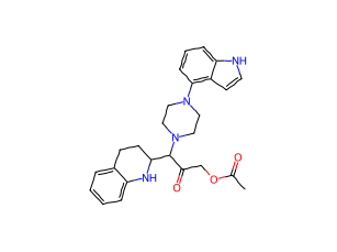 CC(=O)OCC(=O)C(C1CCc2ccccc2N1)N1CCN(c2cccc3[nH]ccc23)CC1